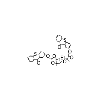 CCC(C)(CCOC(C)(CC)C(=O)COc1ccc2sc3ccccc3c(=O)c2c1)OC(=O)COc1ccc2sc3ccccc3c(=O)c2c1